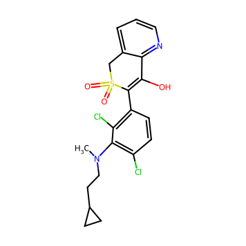 CN(CCC1CC1)c1c(Cl)ccc(C2=C(O)c3ncccc3CS2(=O)=O)c1Cl